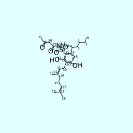 CCCCCc1cc(O)c(CC=C(C)CCC=C(C)C)c(O)c1S(=O)(=O)NC(=O)CC(C)=O